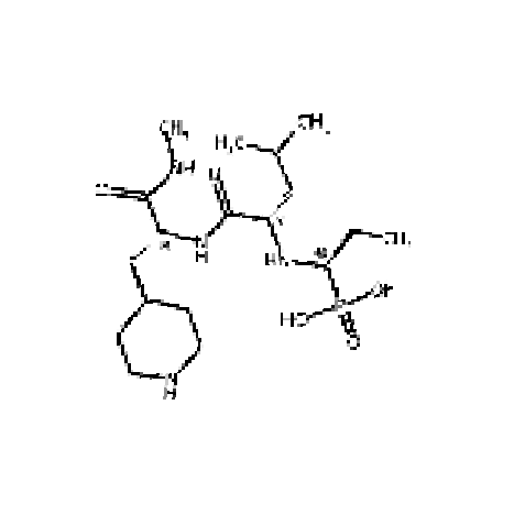 CC[C@H](N[C@@H](CC(C)C)C(=O)N[C@H](CC1CCNCC1)C(=O)NC)P(=O)(O)O